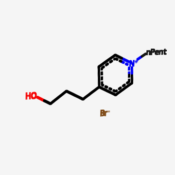 CCCCC[n+]1ccc(CCCO)cc1.[Br-]